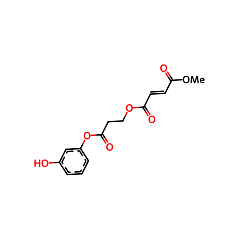 COC(=O)C=CC(=O)OCCC(=O)Oc1cccc(O)c1